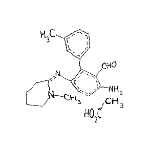 CC(=O)O.Cc1cccc(-c2c(N=C3CCCCN3C)ccc(N)c2C=O)c1